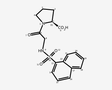 O=C(O)[C@@H]1CCCN1C(=O)CNS(=O)(=O)c1cccc2ccccc12